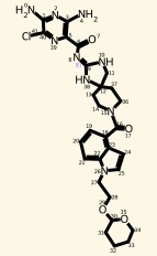 Nc1nc(N)c(C(=O)/N=C2\NCC3(CCN(C(=O)c4cccc5c4ccn5CCOC4CCCCO4)CC3)N2)nc1Cl